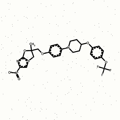 CC1(COc2ccc(N3CCC(Oc4ccc(OC(F)(F)F)cc4)CC3)cc2)Cn2cc([N+](=O)[O-])nc2O1